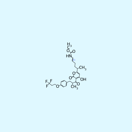 COC(=O)N/C=C/CCC(C)c1cc(O)c(C(=O)C(C)Cc2ccc(OCCC(F)(F)F)cc2)c(=O)o1